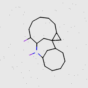 IC1CCCCCC2CC23CC1N(I)C1CCCCCC3C1